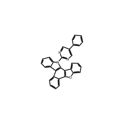 c1ccc(-c2cnc(-n3c4ccccc4c4c5ccccc5c5oc6ccccc6c5c43)nc2)cc1